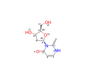 C=C1NC=CC(=O)N1[C@H]1CC(O)[C@@H](CO)O1